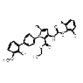 CCOC(=O)c1c(NC(=O)Nc2c(C)cccc2Cl)cc(Cl)n1-c1ccc(-c2cccc(OC)c2O)cc1